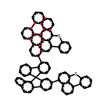 c1ccc(Cc2cc3ccc(-c4cccc5c4-c4ccccc4C54c5cc(-c6ccc7c8c(cccc68)-c6ccccc6S7)ccc5-c5ccc6ccccc6c54)cc3cc2-c2ccccc2Cc2ccccc2-c2ccc3c4c(cccc24)-c2ccccc2S3)cc1